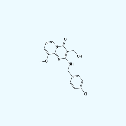 COc1cccn2c(=O)c(CO)c(NCc3ccc(Cl)cc3)nc12